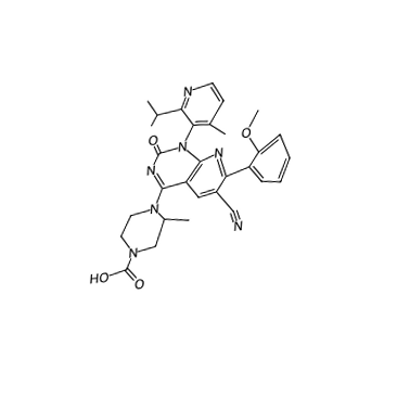 COc1ccccc1-c1nc2c(cc1C#N)c(N1CCN(C(=O)O)CC1C)nc(=O)n2-c1c(C)ccnc1C(C)C